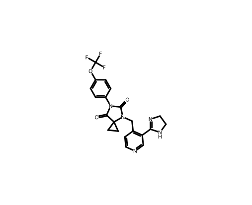 O=C1N(c2ccc(OC(F)(F)F)cc2)C(=O)C2(CC2)N1Cc1ccncc1C1=NCCN1